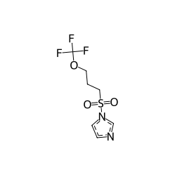 O=S(=O)(CCCOC(F)(F)F)n1ccnc1